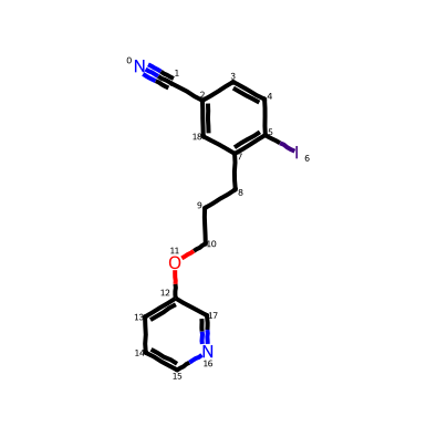 N#Cc1ccc(I)c(CCCOc2cccnc2)c1